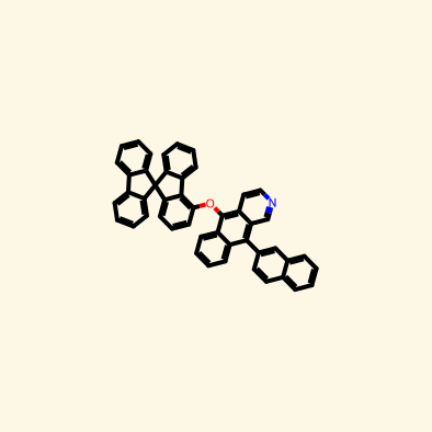 c1ccc2c(c1)-c1ccccc1C21c2ccccc2-c2c(Oc3c4ccccc4c(-c4ccc5ccccc5c4)c4cnccc34)cccc21